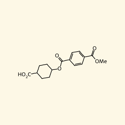 COC(=O)c1ccc(C(=O)OC2CCC(C(=O)O)CC2)cc1